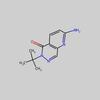 CC(C)(C)n1ncc2nc(N)ccc2c1=O